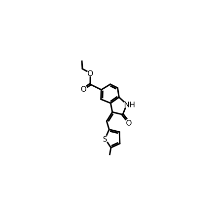 CCOC(=O)c1ccc2c(c1)C(=Cc1ccc(C)s1)C(=O)N2